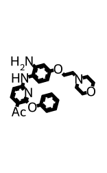 CC(=O)c1ccc(Nc2ccc(OCCN3CCOCC3)cc2N)nc1Oc1ccccc1